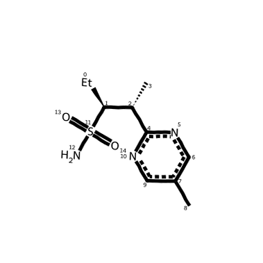 CC[C@@H]([C@H](C)c1ncc(C)cn1)S(N)(=O)=O